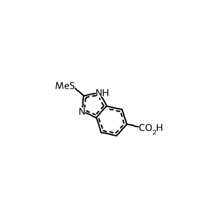 CSc1nc2ccc(C(=O)O)cc2[nH]1